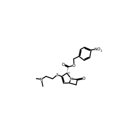 CN(C)CCSC1=CC2CC(=O)N2[C@H]1C(=O)OCc1ccc([N+](=O)[O-])cc1